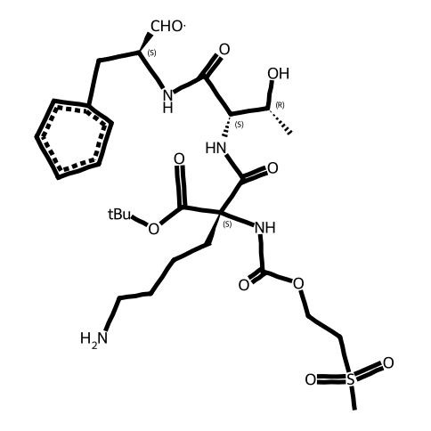 C[C@@H](O)[C@H](NC(=O)[C@](CCCCN)(NC(=O)OCCS(C)(=O)=O)C(=O)OC(C)(C)C)C(=O)N[C@H]([C]=O)Cc1ccccc1